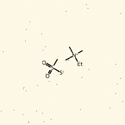 CC[N+](C)(C)C.CS(=O)(=O)[S-]